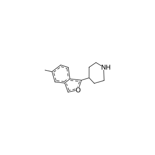 Cc1ccc2c(C3CCNCC3)occ2c1